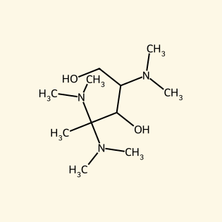 CN(C)C(CO)C(O)C(C)(N(C)C)N(C)C